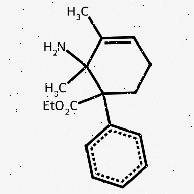 CCOC(=O)C1(c2ccccc2)CCC=C(C)C1(C)N